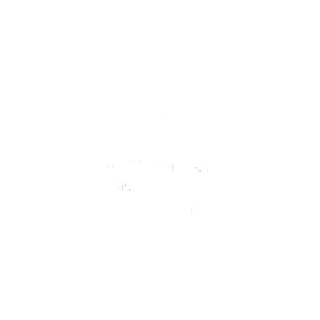 N.O=C1Nc2ccc(Cl)cc2[C@@](C#CC2CC2)(C(F)(F)F)O1